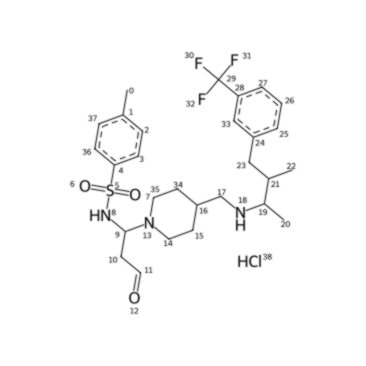 Cc1ccc(S(=O)(=O)NC(CC=O)N2CCC(CNC(C)C(C)Cc3cccc(C(F)(F)F)c3)CC2)cc1.Cl